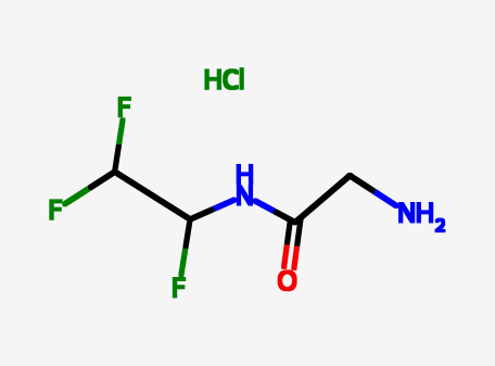 Cl.NCC(=O)NC(F)C(F)F